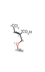 CCCCOCC(=CC(Cl)(Cl)Cl)C(=O)O